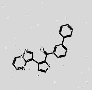 O=C(c1cccc(-c2ccccc2)c1)c1sccc1-c1cnn2cccnc12